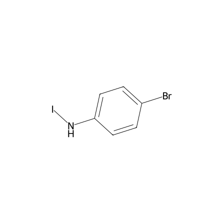 Brc1ccc(NI)cc1